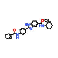 CC1CCCCC1NC(=O)c1ccc2[nH]c(-c3ccc(NC(=O)C4CC5CCC4C5)cc3)nc2c1